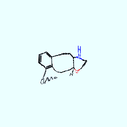 COc1cccc2c1C[C@H]1OCCNC1C2